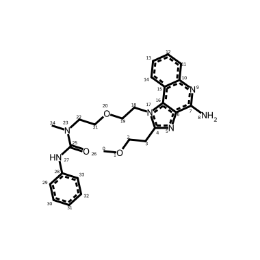 COCCc1nc2c(N)nc3ccccc3c2n1CCOCCN(C)C(=O)Nc1ccccc1